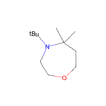 CC(C)(C)N1CCOCCC1(C)C